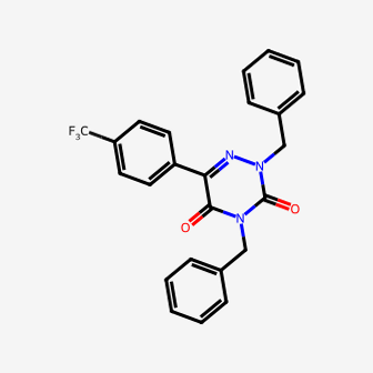 O=c1c(-c2ccc(C(F)(F)F)cc2)nn(Cc2ccccc2)c(=O)n1Cc1ccccc1